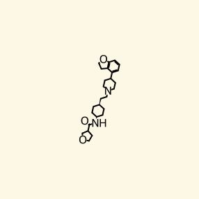 O=C(N[C@H]1CC[C@H](CCN2CCC(c3cccc4c3CCO4)CC2)CC1)C1CCOC1